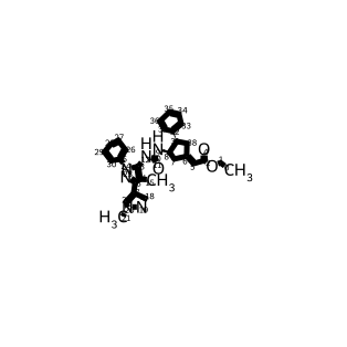 CCOC(=O)C=C1C[C@@H](NC(=O)Nc2c(C)c(-c3cnn(C)c3)nn2-c2ccccc2)[C@H](c2ccccc2)C1